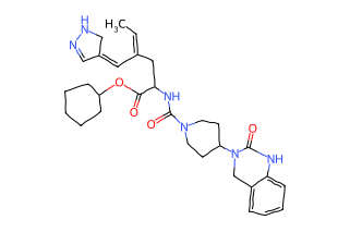 C/C=C(\C=C1\C=NNC1)CC(NC(=O)N1CCC(N2Cc3ccccc3NC2=O)CC1)C(=O)OC1CCCCC1